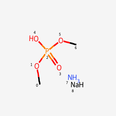 COP(=O)(O)OC.N.[NaH]